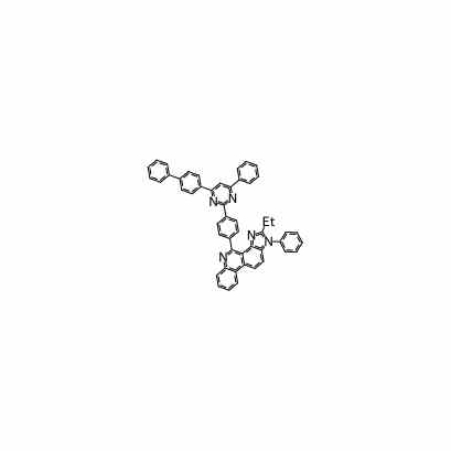 CCc1nc2c3c(-c4ccc(-c5nc(-c6ccccc6)cc(-c6ccc(-c7ccccc7)cc6)n5)cc4)nc4ccccc4c3ccc2n1-c1ccccc1